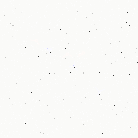 CC(C)OC(=S)NC[C@H]1CN(c2ccc(N3CCCSCC3)cc2)C(=O)O1